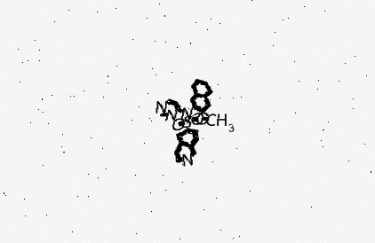 COc1cc2ccccc2cc1N(c1ccncn1)S(=O)(=O)c1ccc2cnccc2c1